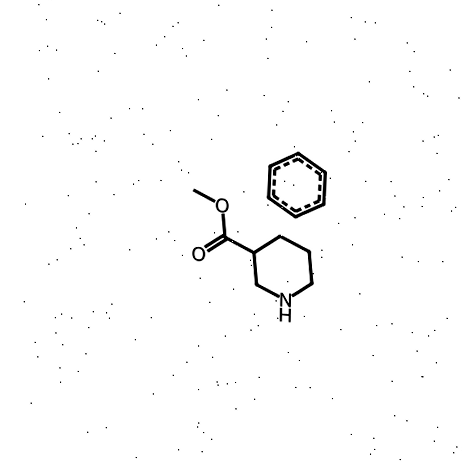 COC(=O)C1CCCNC1.c1ccccc1